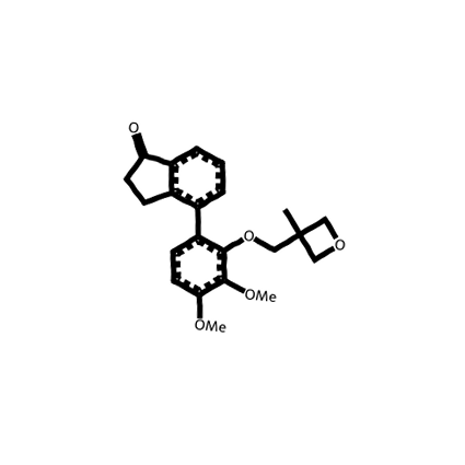 COc1ccc(-c2cccc3c2CCC3=O)c(OCC2(C)COC2)c1OC